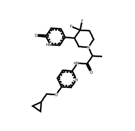 CC(C(=O)Nc1ccc(OCC2CC2)cn1)N1CCC(F)(F)C(c2ccc(=O)[nH]c2)C1